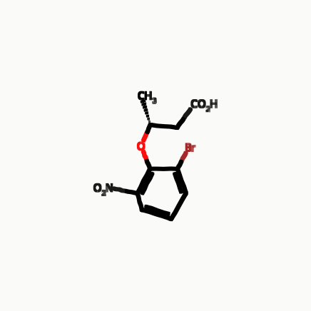 C[C@H](CC(=O)O)Oc1c(Br)cccc1[N+](=O)[O-]